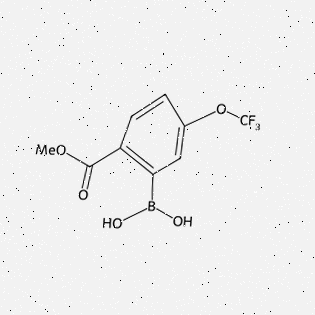 COC(=O)c1ccc(OC(F)(F)F)cc1B(O)O